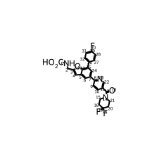 O=C(O)NCc1cc2cc(-c3ccc(C(=O)N4CCC(F)(F)CC4)cn3)cc(-c3ccc(F)cc3)c2o1